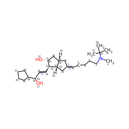 CN(CCCC/C=C1\C[C@H]2C[C@@H](O)[C@H](/C=C/[C@@H](O)C3CCCC3)[C@H]2C1)C(C)(C)C